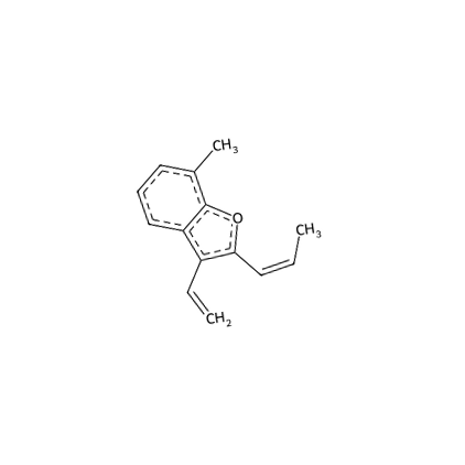 C=Cc1c(/C=C\C)oc2c(C)cccc12